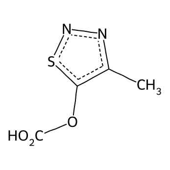 Cc1nnsc1OC(=O)O